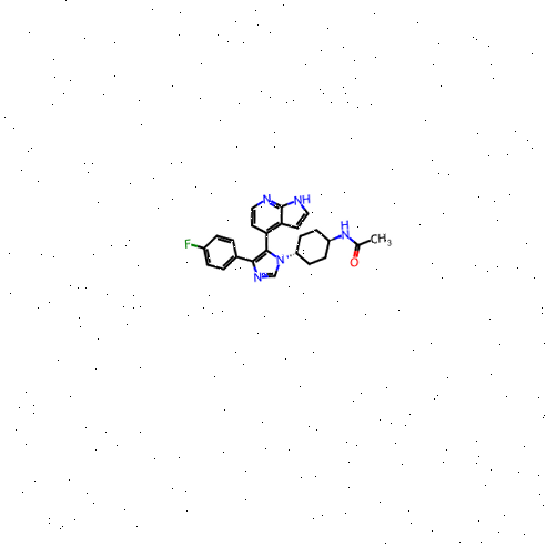 CC(=O)N[C@H]1CC[C@H](n2cnc(-c3ccc(F)cc3)c2-c2ccnc3[nH]ccc23)CC1